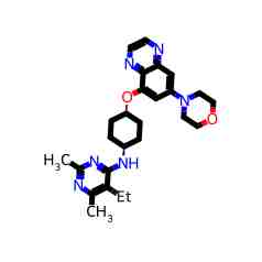 CCc1c(C)nc(C)nc1N[C@H]1CC[C@@H](Oc2cc(N3CCOCC3)cc3nccnc23)CC1